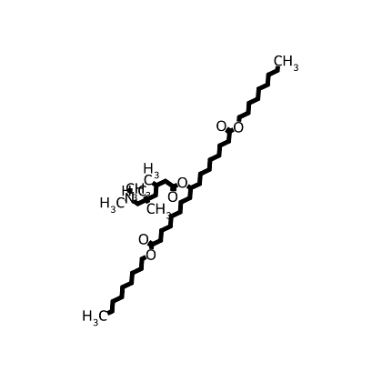 CCCCCCCCCOC(=O)CCCCCCCC(CCCCCCCC(=O)OCCCCCCCCC)OC(=O)CC(C)CC(C)(C)CN(C)C